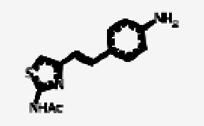 CC(=O)Nc1nc(/C=C/c2ccc(N)cc2)cs1